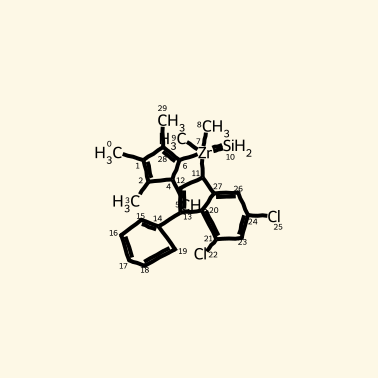 CC1=C(C)C(C)[C]([Zr]([CH3])([CH3])(=[SiH2])[CH]2C=C(c3ccccc3)c3c(Cl)cc(Cl)cc32)=C1C